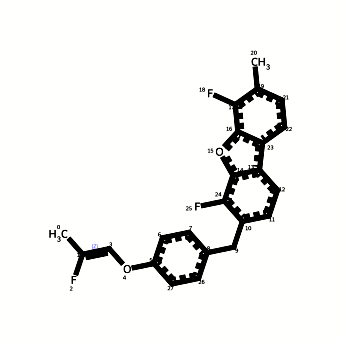 C/C(F)=C/Oc1ccc(Cc2ccc3c(oc4c(F)c(C)ccc43)c2F)cc1